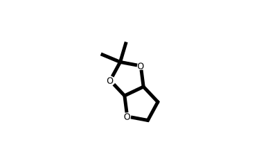 CC1(C)OC2CCOC2O1